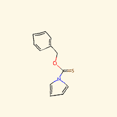 S=C(OCc1ccccc1)n1cccc1